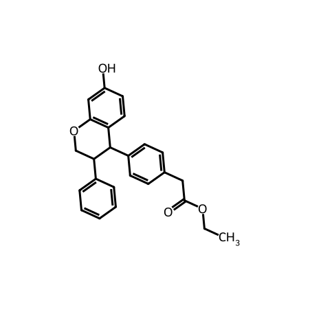 CCOC(=O)Cc1ccc(C2c3ccc(O)cc3OCC2c2ccccc2)cc1